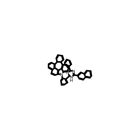 C1=CC2c3cccc4ccc5c(c34)c3c(cccc3n5-c3ccccc3C3N=C(c4ccccc4)N=C(c4ccc5ccccc5c4)N3)C2C=C1